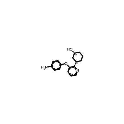 Nc1ccc(Oc2nccnc2[C@@H]2CCC[C@H](O)C2)cc1